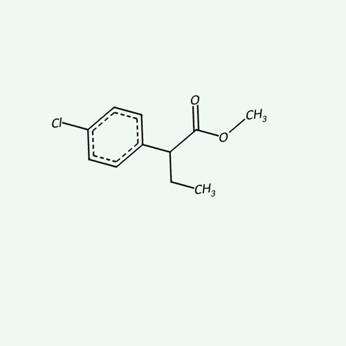 CCC(C(=O)OC)c1ccc(Cl)cc1